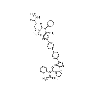 CNC(=O)CCC1SC[C@@H](c2ncc(-c3ccc(-c4ccc(-c5cnc([C@@H]6CCCN6C(=O)[C@@H](c6ccccc6)N(C)C)[nH]5)cc4)cc3)[nH]2)N1C(=O)C(c1ccccc1)N(C)C